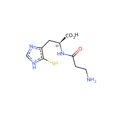 NCCC(=O)N[C@@H](Cc1nc[nH]c1S)C(=O)O